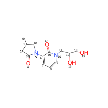 CC1CC(=O)N(c2cccn(CC(O)CO)c2=O)C1